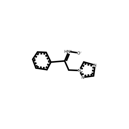 [O-][NH+]=C(Cn1cncn1)c1ccccc1